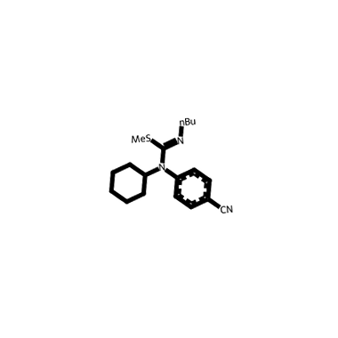 CCCCN=C(SC)N(c1ccc(C#N)cc1)C1CCCCC1